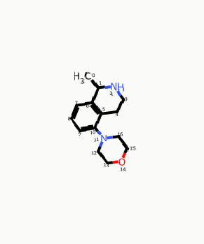 CC1NCCc2c1cccc2N1CCOCC1